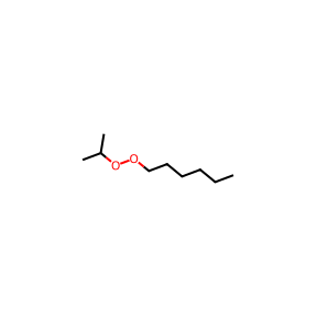 CCCCCCOOC(C)C